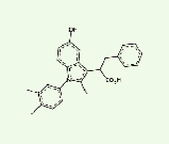 Cc1cc(-n2c(C)c(C(Cc3ccccc3)C(=O)O)c3cc(O)ccc32)ccc1F